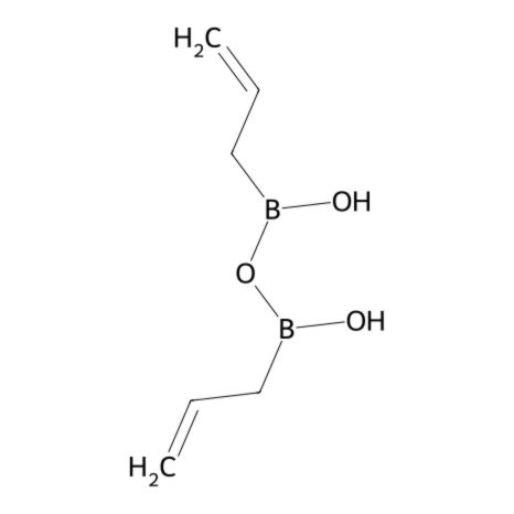 C=CCB(O)OB(O)CC=C